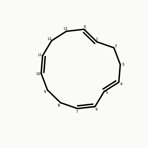 [C]1=C/CC/C=C/C=C\CC/C=C\CC/1